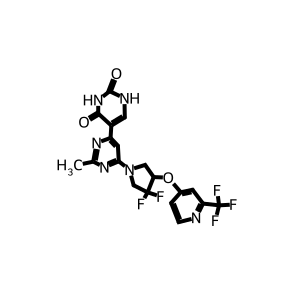 Cc1nc(-c2c[nH]c(=O)[nH]c2=O)cc(N2CC(Oc3ccnc(C(F)(F)F)c3)C(F)(F)C2)n1